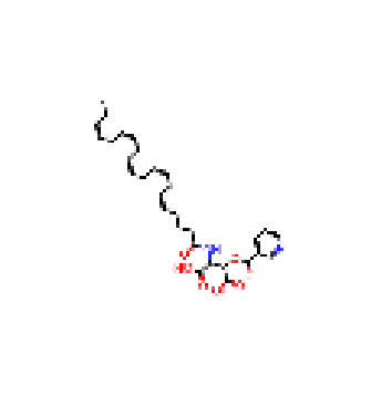 CC/C=C\C/C=C\C/C=C\C/C=C\C/C=C\CCCC(=O)NC(C(=O)O)C(OC(=O)c1cccnc1)C(=O)O